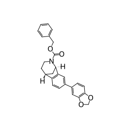 O=C(OCc1ccccc1)N1CC[C@@H]2C[C@@H]1c1cc(-c3ccc4c(c3)OCO4)ccc12